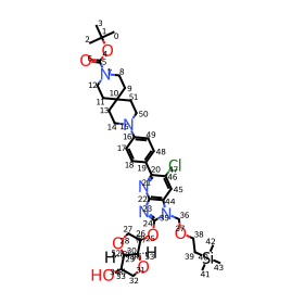 CC(C)(C)OC(=O)N1CCC2(CC1)CCN(c1ccc(-c3nc4nc(O[C@@H]5CO[C@H]6[C@@H]5OC[C@H]6O)n(COCC[Si](C)(C)C)c4cc3Cl)cc1)CC2